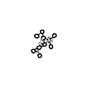 c1ccc(-c2nc(-c3ccccc3)nc(-c3cc(-c4ccccc4-c4ccccc4)cnc3-c3cccc4c3oc3cc5c6ccccc6n(-c6ccccc6)c5cc34)n2)cc1